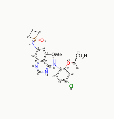 COc1cc(N=S2(=O)CCC2)cc2ncnc(Nc3ccc(Cl)cc3O[C@H](C)C(=O)O)c12